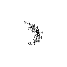 Cc1c(NC(=O)c2[nH]cc(NC(=O)c3[nH]cc([N+](=O)[O-])c3C)c2C)c[nH]c1C(=O)NCCC#N